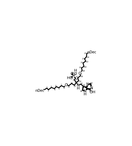 CCCCCCCCCCCCCCCCCCOCCCC(CCCOCCCCCCCCCCCCCCCCCC)(CCP(=O)(O)O)NCc1c[nH]c2c(O)ncnc12